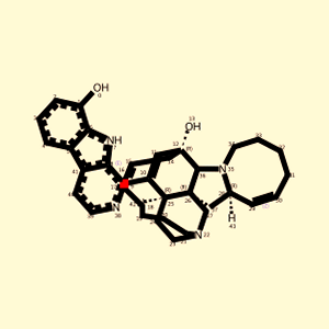 Oc1cccc2c1[nH]c1c(C3=C[C@]4(O)C/C=C/CCCCCN5CC[C@@H]3[C@]3(C[C@@H]6/C=C\CCCCN6C34)C5)nccc12